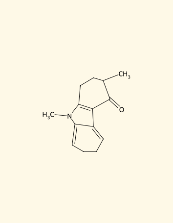 CC1CCc2c(c3c(n2C)=CCCC=3)C1=O